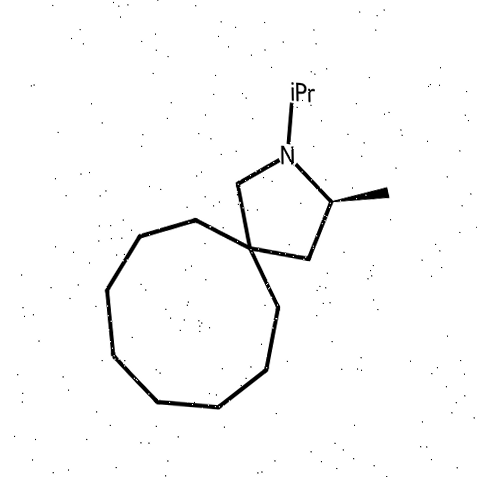 CC(C)N1CC2(CCCCCCCC2)C[C@@H]1C